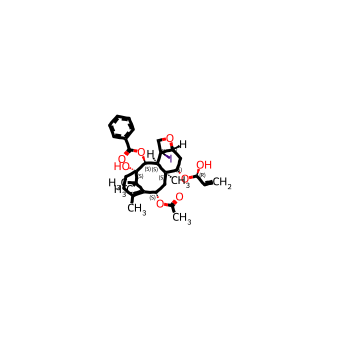 C=C[C@H](O)O[C@H]1C[C@H]2OC[C@@]2(I)[C@@H]2[C@H](OC(=O)c3ccccc3)[C@]3(O)CCC(C)=C([C@@H](OC(C)=O)C[C@]12C)C3(C)C